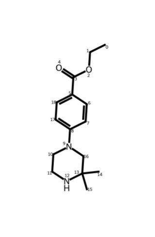 CCOC(=O)c1ccc(N2CCNC(C)(C)C2)cc1